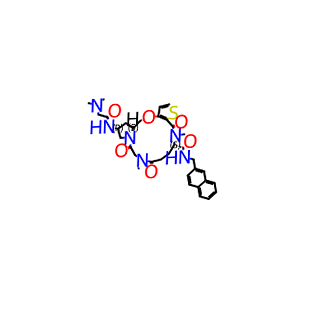 CN(C)CC(=O)N[C@@H]1C[C@H]2COc3ccsc3C(=O)N(C)[C@H](C(=O)NCc3ccc4ccccc4c3)CCC(=O)N(C)CC(=O)N2C1